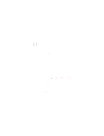 O=[Si](O)O[O][Hf]